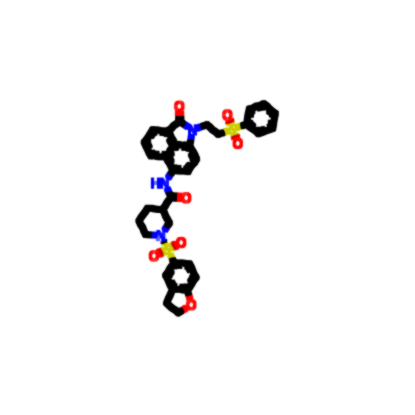 O=C(Nc1ccc2c3c(cccc13)C(=O)N2CCS(=O)(=O)c1ccccc1)C1CCCN(S(=O)(=O)c2ccc3c(c2)CCO3)C1